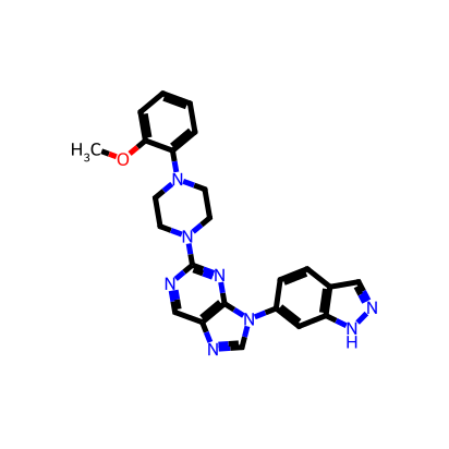 COc1ccccc1N1CCN(c2ncc3ncn(-c4ccc5cn[nH]c5c4)c3n2)CC1